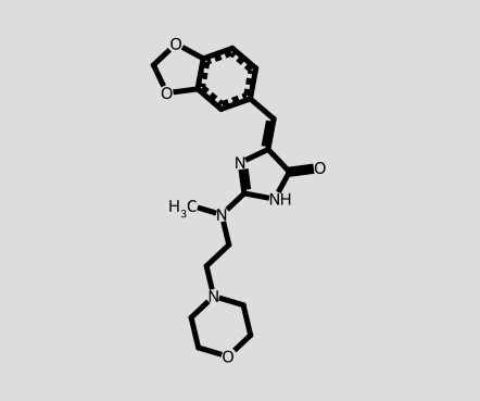 CN(CCN1CCOCC1)C1=NC(=Cc2ccc3c(c2)OCO3)C(=O)N1